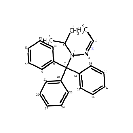 C/C=N\N(C(C)C)C(c1ccccc1)(c1ccccc1)c1ccccc1